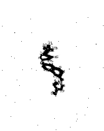 CCC1CCN(Cc2ccc3cc(OC4CCC(C(C)(C)C)CC4)ccc3c2)CC1